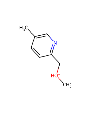 [CH2-][OH+]Cc1ccc(C)cn1